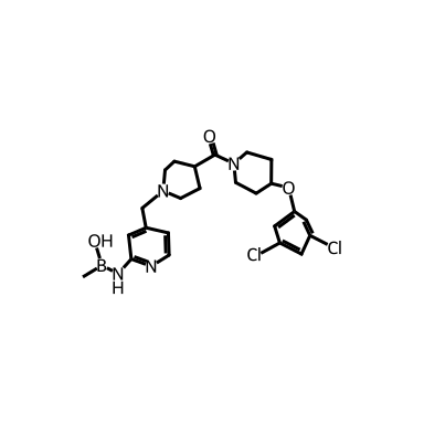 CB(O)Nc1cc(CN2CCC(C(=O)N3CCC(Oc4cc(Cl)cc(Cl)c4)CC3)CC2)ccn1